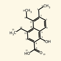 CCc1ccc2c(O)c(C(=O)O)cc(CC)c2c1CC